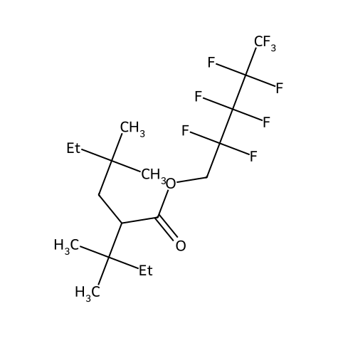 CCC(C)(C)CC(C(=O)OCC(F)(F)C(F)(F)C(F)(F)C(F)(F)F)C(C)(C)CC